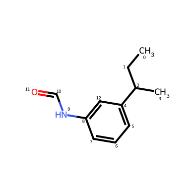 CCC(C)c1cccc(NC=O)c1